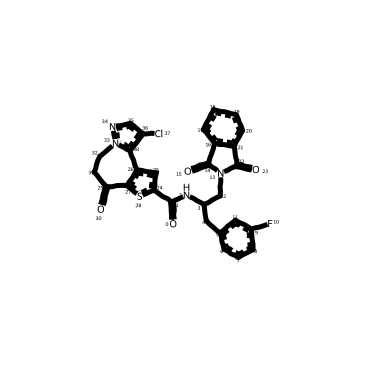 O=C(NC(Cc1cccc(F)c1)CN1C(=O)c2ccccc2C1=O)c1cc2c(s1)C(=O)CCn1ncc(Cl)c1-2